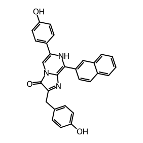 O=c1c(Cc2ccc(O)cc2)nc2c(-c3ccc4ccccc4c3)[nH]c(-c3ccc(O)cc3)cn1-2